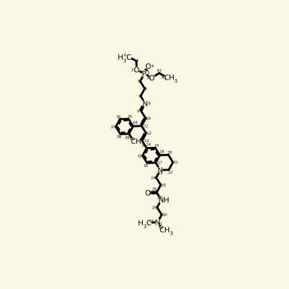 CCOP(=O)(CCC/N=C/C=C(/C=Cc1ccc2c(c1)CCCN2CCC(=O)NCCN(C)C)c1ccccc1C)OCC